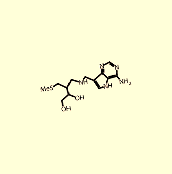 CSCC(CNCc1c[nH]c2c(N)ncnc12)C(O)CO